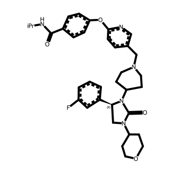 CC(C)NC(=O)c1ccc(Oc2ccc(CN3CCC(N4C(=O)N(C5CCOCC5)C[C@H]4c4cccc(F)c4)CC3)cn2)cc1